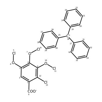 O=C([O-])c1cc(OCl)c(OCl)c(OCl)c1Cl.c1ccc([C+](c2ccccc2)c2ccccc2)cc1